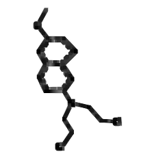 COc1ccc2cc(N(CCCl)CCCl)ccc2c1